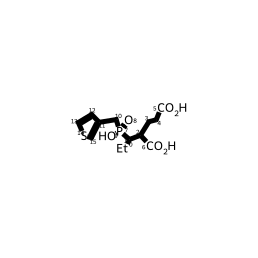 CCC(C(CCC(=O)O)C(=O)O)P(=O)(O)Cc1ccsc1